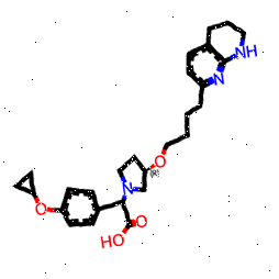 O=C(O)C(c1ccc(OC2CC2)cc1)N1CC[C@@H](OCCCCc2ccc3c(n2)NCCC3)C1